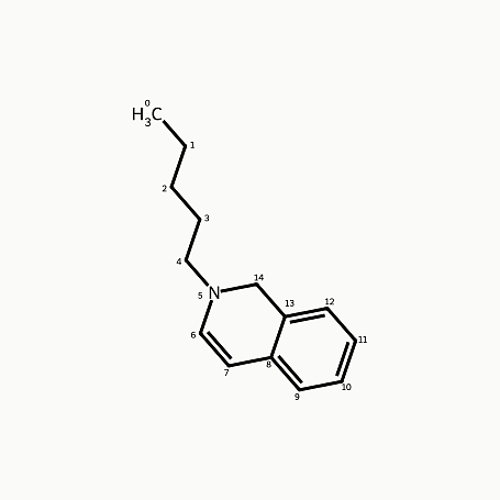 CCCCCN1C=Cc2ccccc2C1